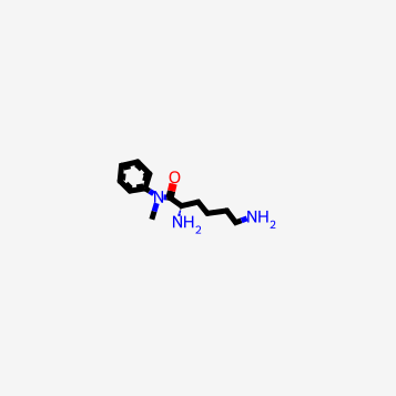 CN(C(=O)[C@@H](N)CCCCN)c1ccccc1